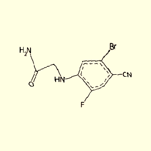 N#Cc1cc(F)c(NCC(N)=O)cc1Br